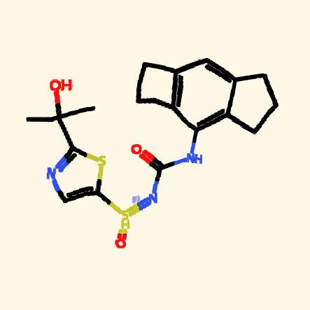 CC(C)(O)c1ncc(/[SH](=O)=N\C(=O)Nc2c3c(cc4c2CC4)CCC3)s1